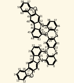 c1cc2c3c(c1)-n1c4cc5oc6ccccc6c5cc4c4cccc(c41)B3c1cc3c(cc1S2)Sc1cccc2c1B3c1cccc3c4cc5c(cc4n-2c13)oc1ccccc15